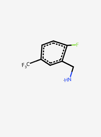 [NH]Cc1cc(C(F)(F)F)ccc1F